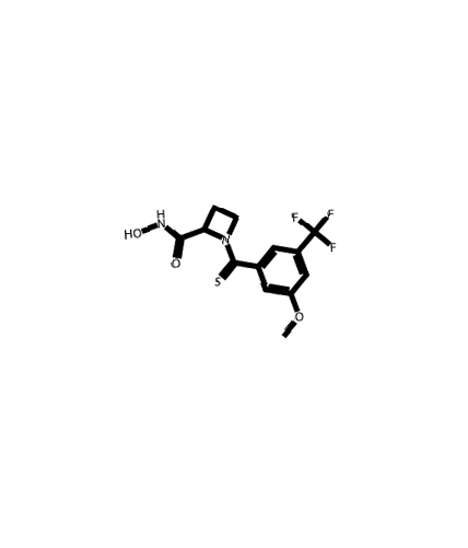 COc1cc(C(=S)N2CCC2C(=O)NO)cc(C(F)(F)F)c1